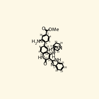 COC(=O)c1ccc(-c2ccc3[nH]c(=O)c(-c4nc5ccccc5[nH]4)c(N[C@H]4CN5CCC4CC5)c3c2)c(N)c1